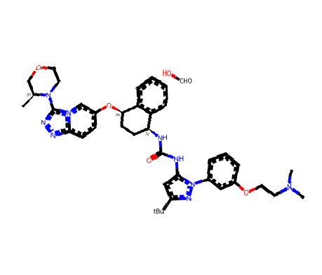 C[C@H]1COCCN1c1nnc2ccc(O[C@@H]3CC[C@H](NC(=O)Nc4cc(C(C)(C)C)nn4-c4cccc(OCCN(C)C)c4)c4ccccc43)cn12.O=CO